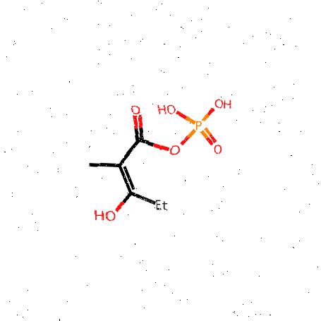 CCC(O)=C(C)C(=O)OP(=O)(O)O